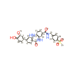 COc1cc(-c2ccc3c(c2)Nc2ccc(C(=O)NCc4ccc(S(C)(=O)=O)cc4)cc2NC3=O)ccc1O